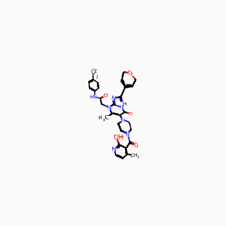 Cc1ccnc(O)c1C(=O)N1CCN(c2c(C)n(CC(=O)Nc3ccc(C(F)(F)F)cc3)c3nc(C4=CCOCC4)nn3c2=O)CC1